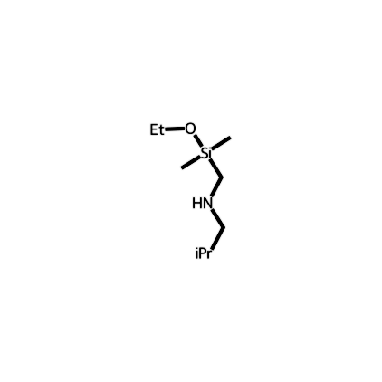 CCO[Si](C)(C)CNCC(C)C